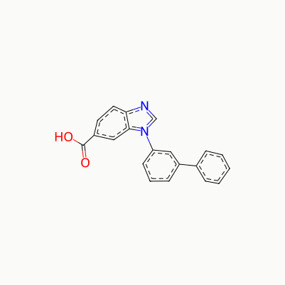 O=C(O)c1ccc2ncn(-c3cccc(-c4ccccc4)c3)c2c1